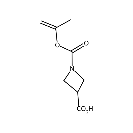 C=C(C)OC(=O)N1CC(C(=O)O)C1